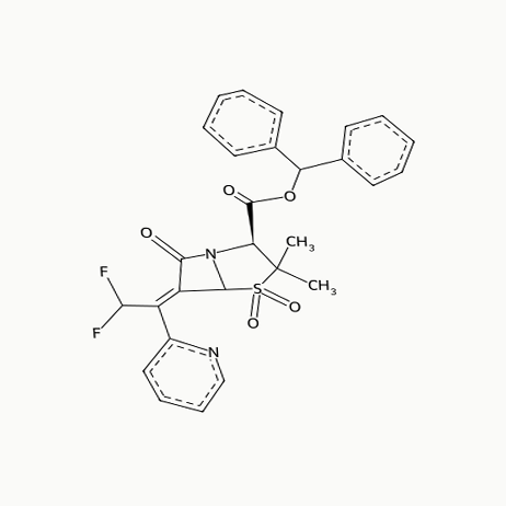 CC1(C)[C@H](C(=O)OC(c2ccccc2)c2ccccc2)N2C(=O)/C(=C(/c3ccccn3)C(F)F)C2S1(=O)=O